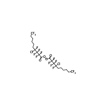 O=C(OOC(=O)C(F)(F)C(F)(F)C(F)(Cl)CCCCCC(F)(F)F)C(F)(F)C(F)(F)C(F)(Cl)CCCCCC(F)(F)F